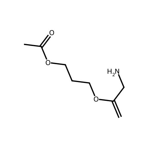 C=C(CN)OCCCOC(C)=O